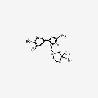 CNc1nc(-c2ccc(O)c(C(F)(F)F)c2)c(CN2CCCC(C)(C)C2)s1